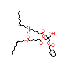 CCCCC/C=C\CCOC(=O)CCCCC(=O)OCC(CO)(COC(=O)CCCCC(=O)OCC/C=C\CCCCC)COC(=O)CC1CC2CCC(C1)O2